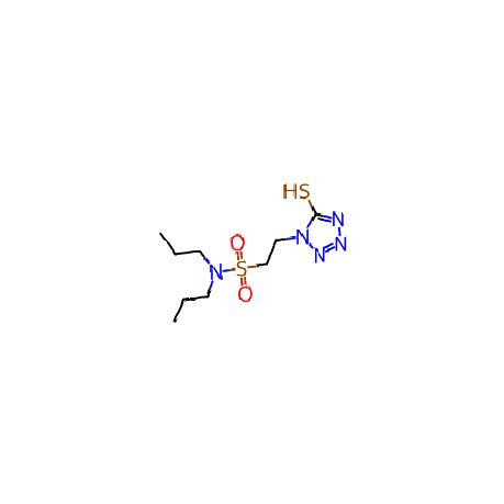 CCCN(CCC)S(=O)(=O)CCn1nnnc1S